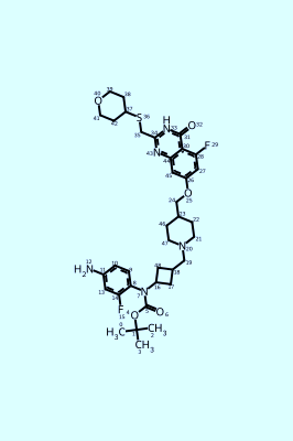 CC(C)(C)OC(=O)N(c1ccc(N)cc1F)C1CC(CN2CCC(COc3cc(F)c4c(=O)[nH]c(CSC5CCOCC5)nc4c3)CC2)C1